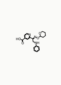 O=C(O)c1ccnc(/C(CNc2ccccc2)=N/OC2CCCCO2)c1